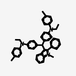 CCN(c1ccc(C)cc1)c1ccc(C(c2ccc(N(CC)c3ccc(C)cc3)cc2)c2c(-c3ccccc3)n(C)c3ccccc23)cc1